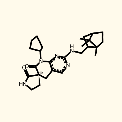 CC1(C)C2CCC1(C)C(CNc1ncc3c(n1)N(C1CCCC1)C(=O)[C@]1(CCNC1=O)C3)C2